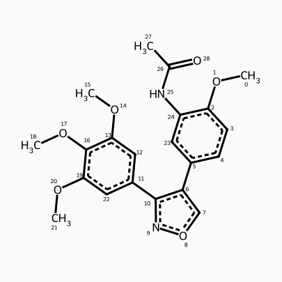 COc1ccc(-c2conc2-c2cc(OC)c(OC)c(OC)c2)cc1NC(C)=O